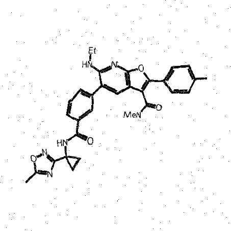 CCNc1nc2oc(-c3ccc(C)cc3)c(C(=O)NC)c2cc1-c1cccc(C(=O)NC2(c3noc(C)n3)CC2)c1